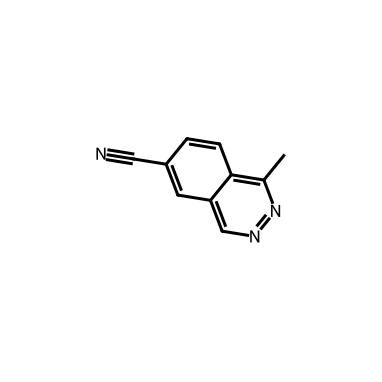 Cc1nncc2cc(C#N)ccc12